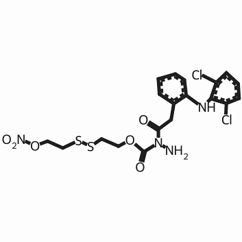 NN(C(=O)Cc1ccccc1Nc1c(Cl)cccc1Cl)C(=O)OCCSSCCO[N+](=O)[O-]